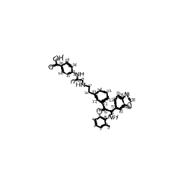 Cc1ccccc1NC(C(=O)c1cccc(CCNCC(=O)Nc2ccc(C(=O)O)cc2)c1)c1ccc2ncoc2c1